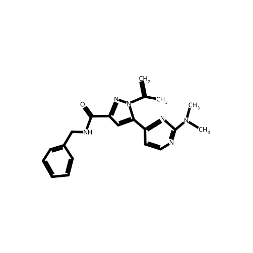 C=C(C)n1nc(C(=O)NCc2ccccc2)cc1-c1ccnc(N(C)C)n1